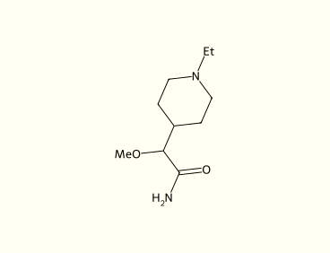 CCN1CCC(C(OC)C(N)=O)CC1